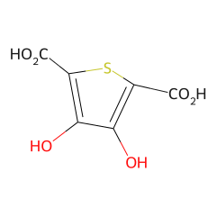 O=C(O)c1sc(C(=O)O)c(O)c1O